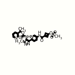 CC(OC(=O)Nc1c(-c2ccc(NC(=O)C34CC(OS(C)(=O)=O)(C3)C4)cn2)nnn1C)c1cccnc1Cl